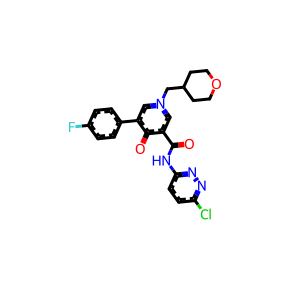 O=C(Nc1ccc(Cl)nn1)c1cn(CC2CCOCC2)cc(-c2ccc(F)cc2)c1=O